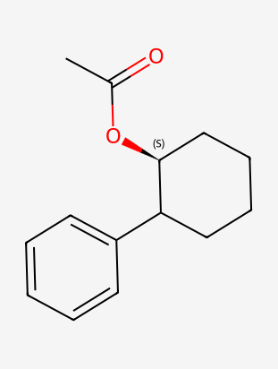 CC(=O)O[C@H]1CCCCC1c1ccccc1